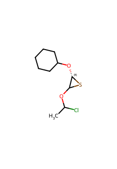 CC(Cl)OC1S[C@H]1OC1CCCCC1